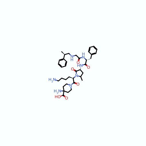 CC1C[C@@H](NC(=O)[C@@H](Cc2ccccc2)NC(=O)CNC[C@H](C)c2ccccc2)C(=O)N1[C@H](CCCCN)C(=O)N1CCC(N)(C(=O)O)CC1